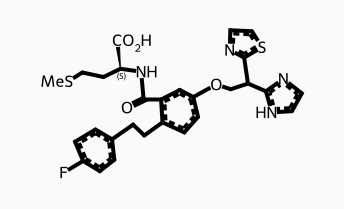 CSCC[C@H](NC(=O)c1cc(OCC(c2ncc[nH]2)c2nccs2)ccc1CCc1ccc(F)cc1)C(=O)O